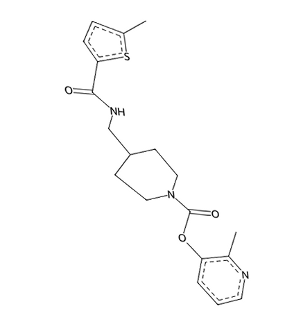 Cc1ccc(C(=O)NCC2CCN(C(=O)Oc3cccnc3C)CC2)s1